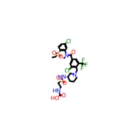 CCS(=O)(=O)c1ccc(Cl)cc1N(C)C(=O)c1cc(Cl)c(CN2CCC[C@H](NS(=O)(=O)CCNC(=O)O)C2)c(C(F)(F)F)c1